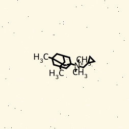 CC12CC3CC(C)(C1)CC([N+](C)(C)CC1CC1)(C3)C2